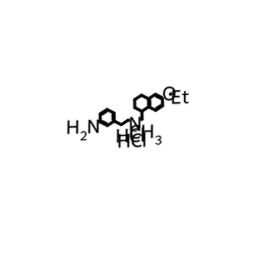 CCOc1ccc2c(c1)CCCC2CN(C)CCc1cccc(N)c1.Cl.Cl